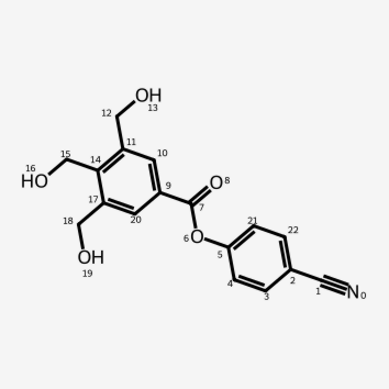 N#Cc1ccc(OC(=O)c2cc(CO)c(CO)c(CO)c2)cc1